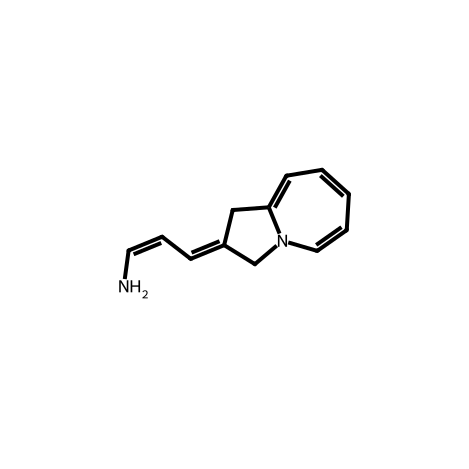 N/C=C\C=C1/CC2=CC=CC=CN2C1